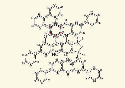 CC1(C)CC(C)(C)c2c(N3c4ccc(-c5ccccc5)cc4Oc4cc(-c5ccccc5)ccc43)c(N3c4ccc(-c5ccccc5)cc4Oc4cc(-c5ccccc5)ccc43)c(C#N)c(N3c4ccc(-c5ccccc5)cc4Oc4cc(-c5ccccc5)ccc43)c21